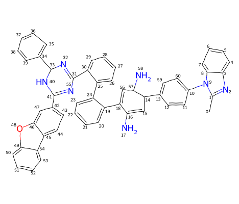 Cc1nc2ccccc2n1-c1ccc(C2C=C(N)C(c3ccccc3-c3ccccc3C3=NC(c4ccccc4)NC(c4ccc5c(c4)oc4ccccc45)=N3)=CC2N)cc1